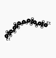 CCc1cccc(N2C(=O)c3ccc(C(=O)c4ccc5c(c4)C(=O)N(c4cccc(Oc6cccc(Oc7cccc(N8C(=O)c9ccc(C(=O)c%10ccc%11c(c%10)C(=O)N(c%10cccc(CC)c%10)C%11=O)cc9C8=O)c7)c6)c4)C5=O)cc3C2=O)c1